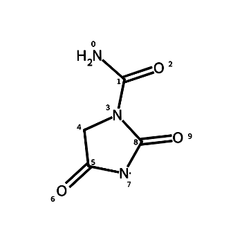 NC(=O)N1CC(=O)[N]C1=O